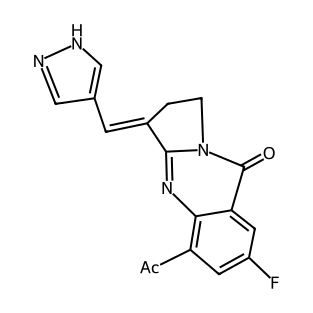 CC(=O)c1cc(F)cc2c(=O)n3c(nc12)C(=Cc1cn[nH]c1)CC3